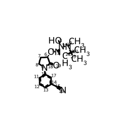 CN(/[N+](O)=N/O[C@@H]1CCN(c2cccc(C#N)c2)C1=O)C(C)(C)C